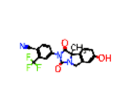 CC12C(=O)N(c3ccc(C#N)c(C(F)(F)F)c3)C(=O)N1Cc1cc(O)ccc12